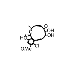 COc1cc(O)c2c(c1Cl)/C=C/C[C@H](O)[C@H](O)C(=O)/C=C\C[C@H](C)OC2=O